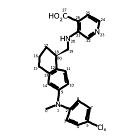 CN(c1ccc(Cl)cc1)c1ccc2c(c1)CCC[C@H]2CNc1cnccc1C(=O)O